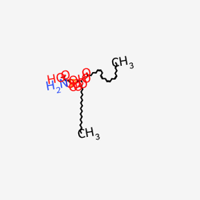 CCCCC/C=C\C/C=C\C/C=C\C/C=C\CCCC(=O)OC[C@H](COP(=O)(O)OC[C@H](N)C(=O)O)OC(=O)CCCCCCCCCCCCCCCCC